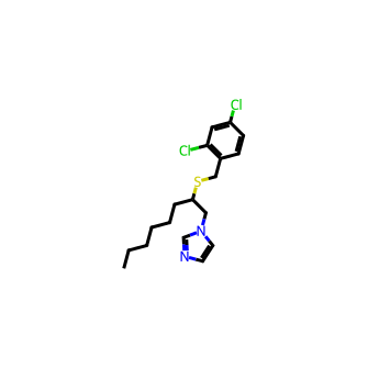 CCCCCCC(Cn1ccnc1)SCc1ccc(Cl)cc1Cl